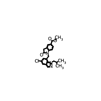 COC(=O)c1ccc2c(c1)CC(=O)N2Cc1cc(Cl)cc2cnn(CC(C)C)c12